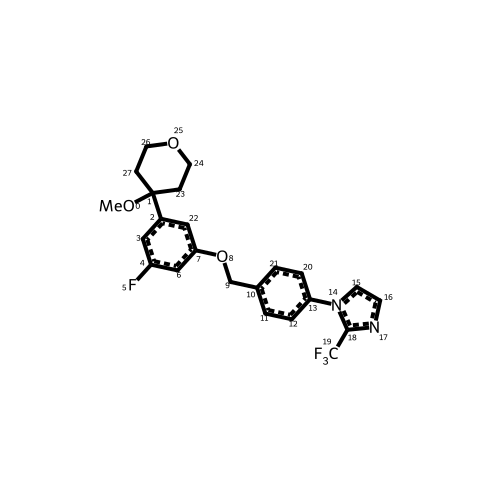 COC1(c2cc(F)cc(OCc3ccc(-n4ccnc4C(F)(F)F)cc3)c2)CCOCC1